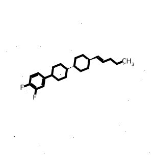 CCC/C=C/[C@H]1CC[C@H](C2CCC(c3ccc(F)c(F)c3)CC2)CC1